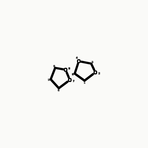 C1COCO1.C1COOC1